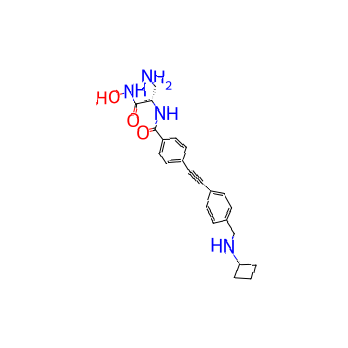 NC[C@H](NC(=O)c1ccc(C#Cc2ccc(CNC3CCC3)cc2)cc1)C(=O)NO